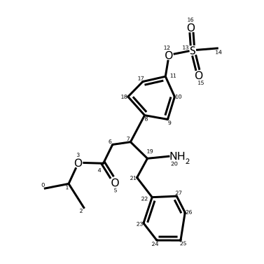 CC(C)OC(=O)CC(c1ccc(OS(C)(=O)=O)cc1)C(N)Cc1ccccc1